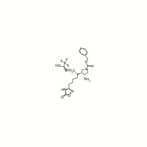 CCOC(=O)C(CCCCc1noc(=O)[nH]1)[C@H]1CN(C(=O)OCc2ccccc2)C[C@@H]1N.O=C(O)C(F)(F)F